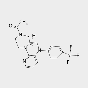 CC(=O)N1CCN2c3ncccc3N(c3ccc(C(F)(F)F)cc3)C[C@@H]2C1